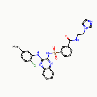 COc1ccc(Cl)c(Nc2nc3ccccc3nc2NS(=O)(=O)c2cccc(C(=O)NCCn3ccnc3)c2)c1